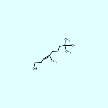 C/C(=C\CCO)CCCC(C)(C)O